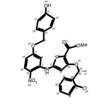 COC(=O)c1sc(Nc2cc(OCc3ccc(O)cc3)ccc2[N+](=O)[O-])cc1O[C@H](C)c1ccccc1Cl